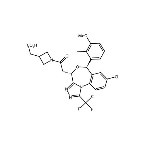 COc1cccc([C@@H]2O[C@@H](CC(=O)N3CC(CC(=O)O)C3)c3nnc(C(F)(F)Cl)n3-c3ccc(Cl)cc32)c1C